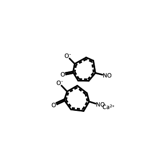 O=Nc1ccc([O-])c(=O)cc1.O=Nc1ccc([O-])c(=O)cc1.[Ca+2]